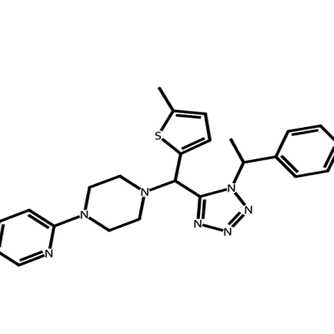 Cc1ccc(C(c2nnnn2C(C)c2ccccc2)N2CCN(c3ccccn3)CC2)s1